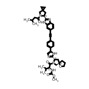 COC(=O)N[C@H](C(=O)N1C[C@]2(CCCO2)C[C@H]1c1ncc(-c2ccc(C#Cc3ccc4nc([C@@H]5CC6(CC6)CN5C(=O)CC(C)C)[nH]c4c3)cc2)[nH]1)C(C)C